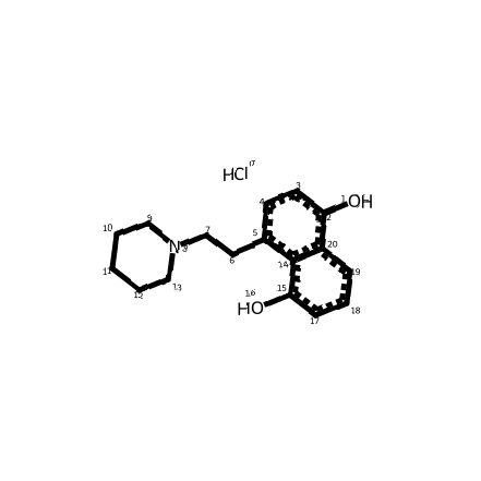 Cl.Oc1ccc(CCN2CCCCC2)c2c(O)cccc12